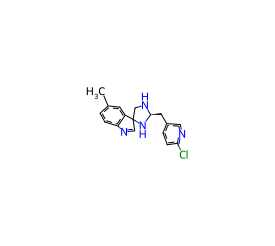 Cc1ccc2c(c1)C1(C=N2)CN[C@@H](Cc2ccc(Cl)nc2)N1